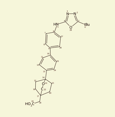 CC(C)(C)c1nnc(Nc2ccc(-c3ccc(C45CCC(CC(=O)O)(CC4)CO5)cc3)cc2)o1